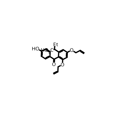 C=CCOc1cc(OCC=C)c(C(=O)c2ccc(O)cc2)c(C(CC)C(=O)O)c1